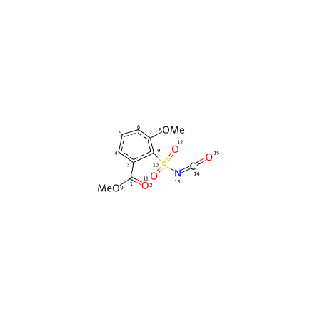 COC(=O)c1cccc(OC)c1S(=O)(=O)N=C=O